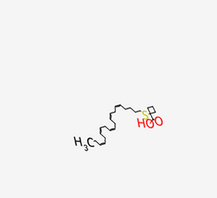 CC/C=C\C/C=C\C/C=C\C/C=C\C/C=C\CCCCSC1(C(=O)O)CCC1